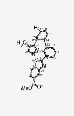 COC(=O)c1ccc2[nH]c(-c3cccc(-c4ccc(F)cc4-c4nncn4C)c3)nc2c1